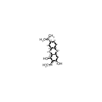 CN=c1c(O)cc2nc3ccc(N(C)C)cc3sc-2c1O